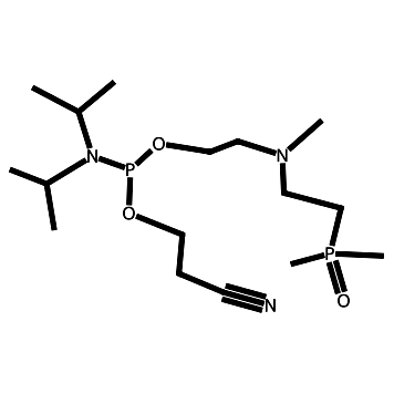 CC(C)N(C(C)C)P(OCCC#N)OCCN(C)CCP(C)(C)=O